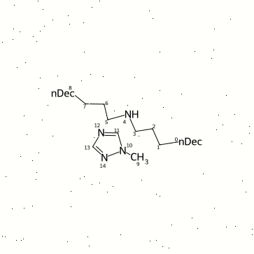 CCCCCCCCCCCCCNCCCCCCCCCCCCC.Cn1cncn1